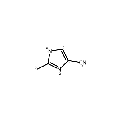 CC1=NC(C#N)=C[N]1